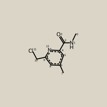 CNC(=O)c1cc(C)cc(CCl)n1